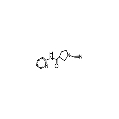 N#CN1CCC(C(=O)Nc2ccccn2)C1